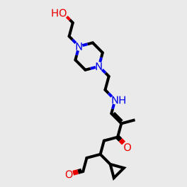 C/C(=C\NCCN1CCN(CCO)CC1)C(=O)CC(CC=O)C1CC1